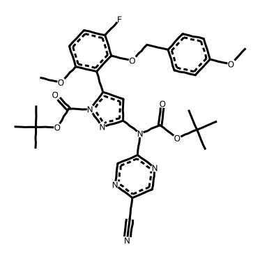 COc1ccc(COc2c(F)ccc(OC)c2-c2cc(N(C(=O)OC(C)(C)C)c3cnc(C#N)cn3)nn2C(=O)OC(C)(C)C)cc1